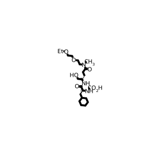 CCOCCOCCN(C)C(=O)CC[C@@H](CO)NC(=O)[C@H](CC1CCCCC1)NC(=O)O